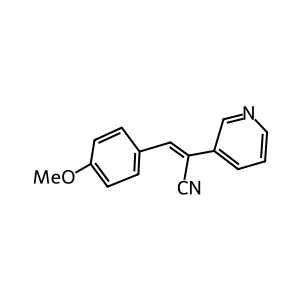 COc1ccc(/C=C(\C#N)c2cccnc2)cc1